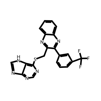 FC(F)(F)c1cccc(-c2nc3ccccc3nc2CSc2ncnc3nc[nH]c23)c1